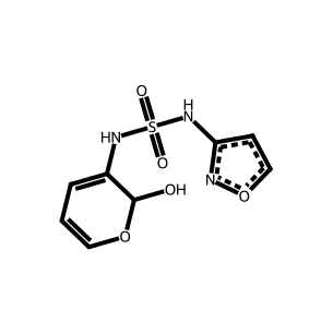 O=S(=O)(NC1=CC=COC1O)Nc1ccon1